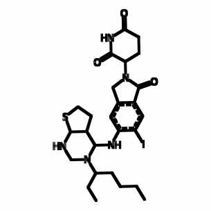 CCCCC(CC)N1CNC2SCCC2C1Nc1cc2c(cc1I)C(=O)N(C1CCC(=O)NC1=O)C2